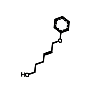 OCCCC=CCOc1ccccc1